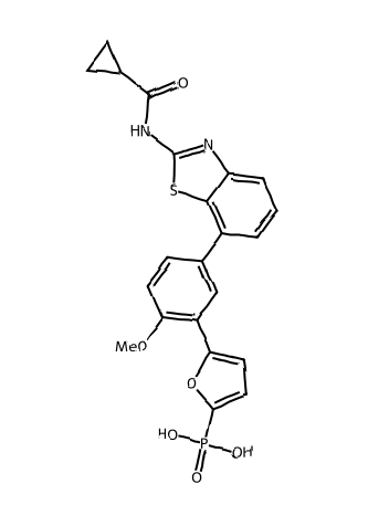 COc1ccc(-c2cccc3nc(NC(=O)C4CC4)sc23)cc1-c1ccc(P(=O)(O)O)o1